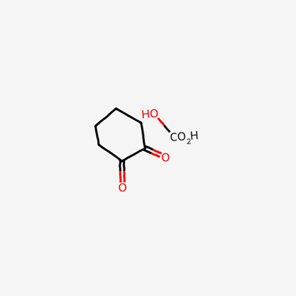 O=C(O)O.O=C1CCCCC1=O